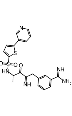 C[C@H](NS(=O)(=O)c1ccc(-c2cccnc2)s1)C(=O)C(=N)Cc1cccc(C(=N)N)c1